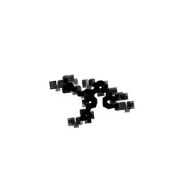 Cc1nnc(-c2ccc3c(-c4nc(N[C@H]5CCCN(C(=O)O)C5C(C)(C)C)ncc4C(F)(F)F)cn(COCC[Si](C)(C)C)c3n2)s1